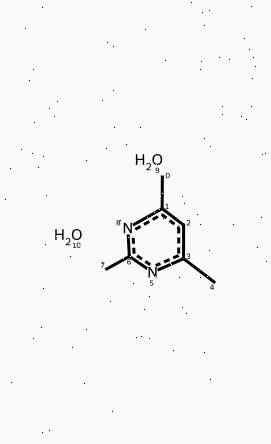 Cc1cc(C)nc(C)n1.O.O